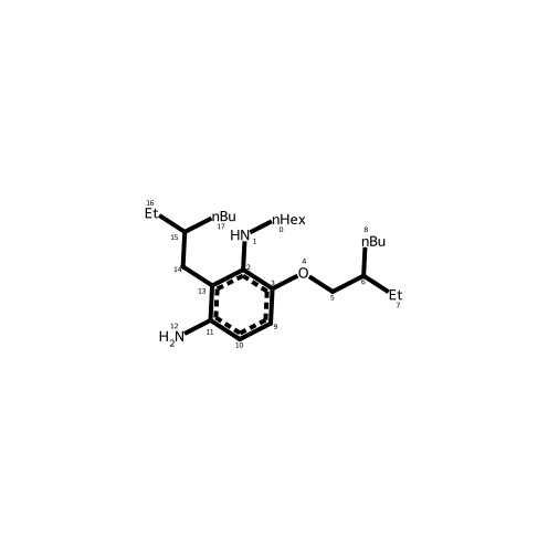 CCCCCCNc1c(OCC(CC)CCCC)ccc(N)c1CC(CC)CCCC